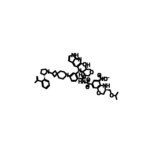 C=C(C)c1ccccc1[C@@H]1CCCN1C1CC2(CCN(c3ccc(C(=O)NS(=O)(=O)c4cc5c(c([N+](=O)[O-])c4)N[C@@H](COC(C)C)CO5)c(N4c5cc6cc[nH]c6nc5O[C@H]5COCC[C@H]54)c3)CC2)C1